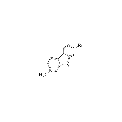 Cn1ccc2c3ccc(Br)cc3nc-2c1